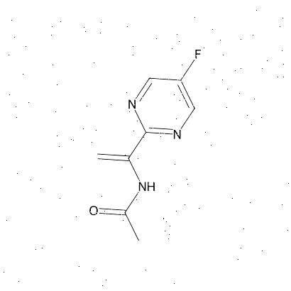 C=C(NC(C)=O)c1ncc(F)cn1